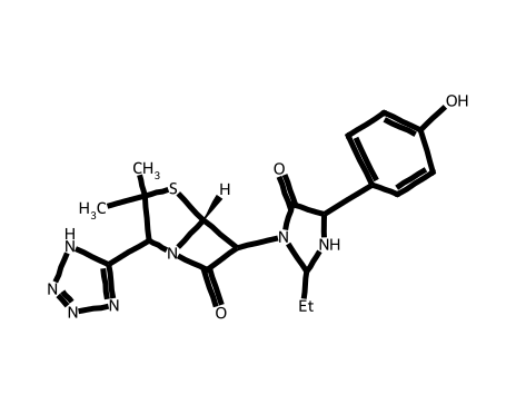 CCC1NC(c2ccc(O)cc2)C(=O)N1C1C(=O)N2C(c3nnn[nH]3)C(C)(C)S[C@H]12